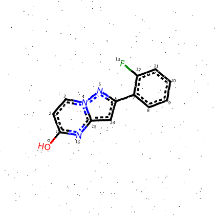 Oc1ccn2nc(-c3ccccc3F)cc2n1